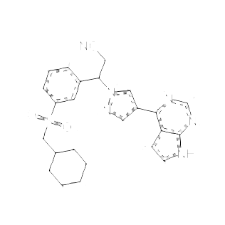 N#CCC(c1cccc(S(=O)(=O)CC2CCCCC2)c1)n1cc(-c2ncnc3[nH]ccc23)cn1